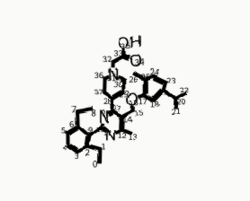 CCc1cccc(CC)c1-c1nc(C)c(COc2cc(C(C)C)ccc2C)c(C2=CCN(CC(=O)O)CC2)n1